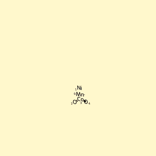 [Mn].[Ni].[O]=[Co]=[O]